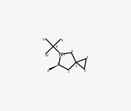 C[C@@H]1CC2(CC2)CN1C(C)(C)C